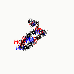 CC(C)C(CC(C)(C)SCCOC(=O)Nc1ccc(Cc2ccc(NC(=O)OCC(O)(O)COC(=O)Nc3ccc(Cc4ccc(NC(=O)OCCSC(C)(C)CC5C(C)[N+]56CCCC6=O)cc4)cc3)cc2)cc1)N1CCCC1=O